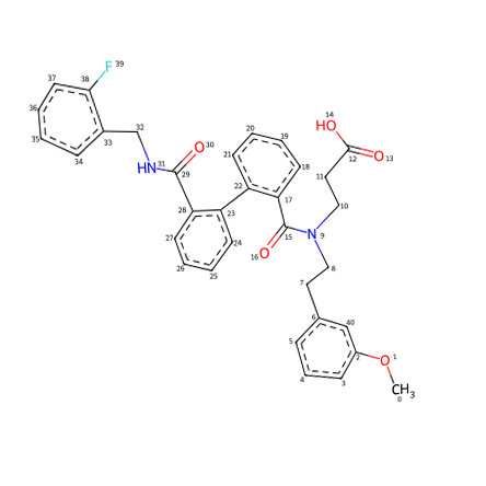 COc1cccc(CCN(CCC(=O)O)C(=O)c2ccccc2-c2ccccc2C(=O)NCc2ccccc2F)c1